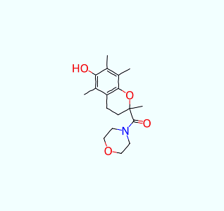 Cc1c(C)c2c(c(C)c1O)CCC(C)(C(=O)N1CCOCC1)O2